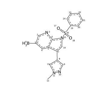 Bc1cnc2c(c1)c(-c1cnn(C)c1)cn2S(=O)(=O)c1ccccc1